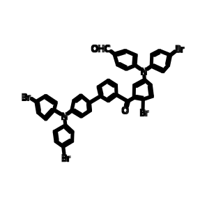 O=Cc1ccc(N(c2ccc(Br)cc2)c2ccc(Br)c(C(=O)c3cccc(-c4ccc(N(c5ccc(Br)cc5)c5ccc(Br)cc5)cc4)c3)c2)cc1